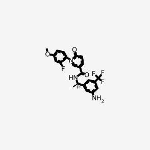 COc1ccc(-n2cc(C(=O)N[C@H](C)c3cc(N)cc(C(F)(F)F)c3)ccc2=O)c(F)c1